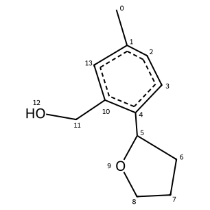 Cc1ccc(C2CCCO2)c(CO)c1